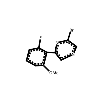 COc1cccc(F)c1-c1cncc(Br)n1